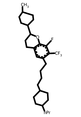 CCCC1CCC(CCCCc2cc3c(c(F)c2C(F)(F)F)OC(C2CCC(C)CC2)CC3)CC1